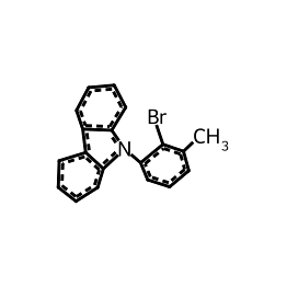 Cc1cccc(-n2c3ccccc3c3ccccc32)c1Br